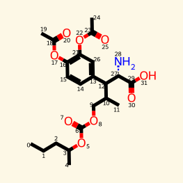 CCCC(C)OC(=O)OCC(C)C(c1ccc(OC(C)=O)c(OC(C)=O)c1)[C@H](N)C(=O)O